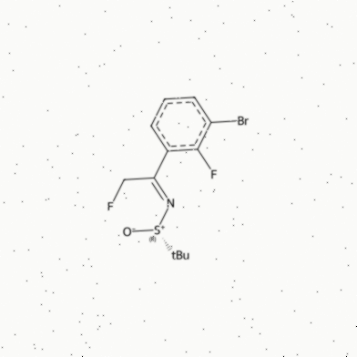 CC(C)(C)[S@+]([O-])N=C(CF)c1cccc(Br)c1F